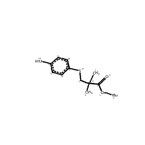 CC(C)(C)OC(=O)C(C)(C)CSc1ccc(O)cc1